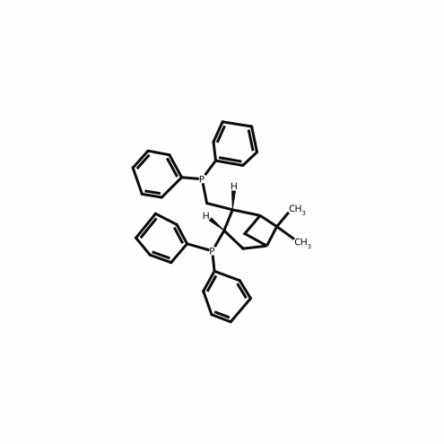 CC1(C)C2CC1[C@@H](CP(c1ccccc1)c1ccccc1)[C@@H](P(c1ccccc1)c1ccccc1)C2